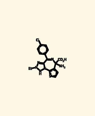 CCN1N=C2C(c3ccc(Cl)cc3)=NC(N)(C(=O)O)c3ccsc3N2N1